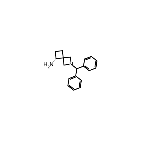 N[C@@H]1CCC12CN(C(c1ccccc1)c1ccccc1)C2